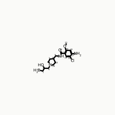 BCC(O)CN1CCC(CNC(=O)c2cc(Cl)c(N)cc2OC)CC1